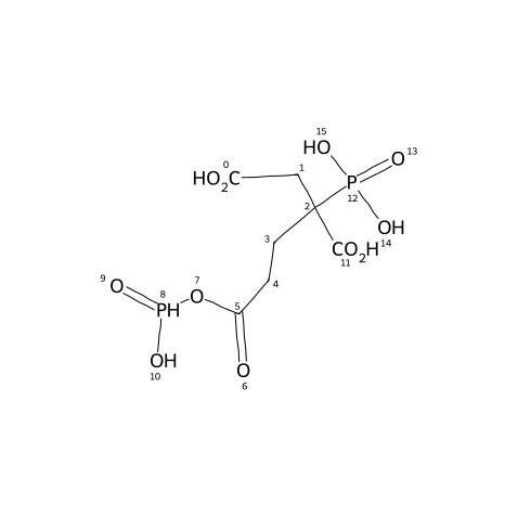 O=C(O)CC(CCC(=O)O[PH](=O)O)(C(=O)O)P(=O)(O)O